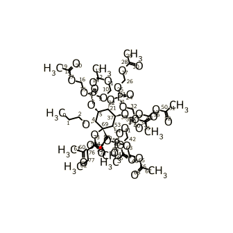 CCCO[C@@H]1[C@@H](OP(=O)(OCOC(C)=O)OCOC(C)=O)[C@H](OP(=O)(OCOC(C)=O)OCOC(C)=O)[C@@H](OP(=O)(OCOC(C)=O)OCOC(C)=O)[C@H](OP(=O)(OCOC(C)=O)OCOC(C)=O)[C@]1(CCC)OC(=O)CCC